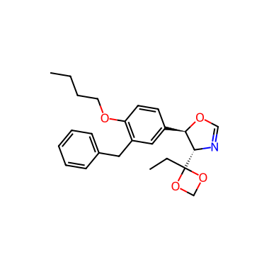 CCCCOc1ccc([C@H]2OC=N[C@@H]2C2(CC)OCO2)cc1Cc1ccccc1